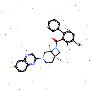 Cc1ccc(-c2ccccc2)c(C(=O)N2C[C@H]3CCN(c4cnc5cc(F)ccc5n4)C[C@H]32)c1F